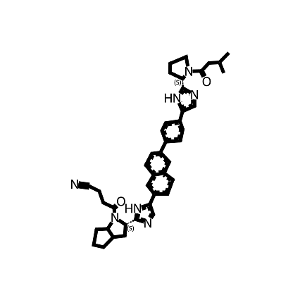 CC(C)CC(=O)N1CCC[C@H]1c1ncc(-c2ccc(-c3ccc4cc(-c5cnc([C@@H]6CC7CCCC7N6C(=O)CCC#N)[nH]5)ccc4c3)cc2)[nH]1